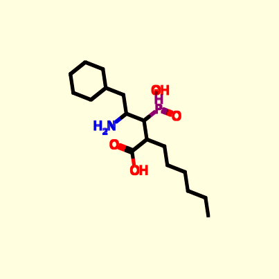 CCCCCCC(C(=O)O)C(C(N)CC1CCCCC1)[PH](=O)O